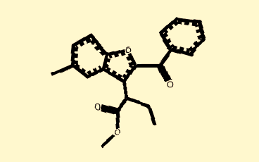 CCC(C(=O)OC)c1c(C(=O)c2ccccc2)oc2ccc(C)cc12